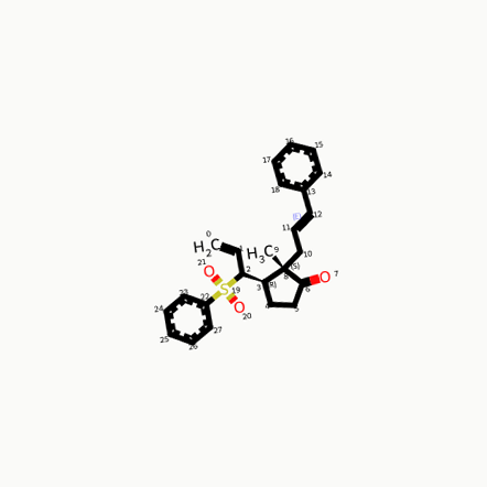 C=CC([C@@H]1CCC(=O)[C@@]1(C)C/C=C/c1ccccc1)S(=O)(=O)c1ccccc1